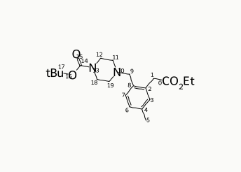 CCOC(=O)Cc1cc(C)ccc1CN1CCN(C(=O)OC(C)(C)C)CC1